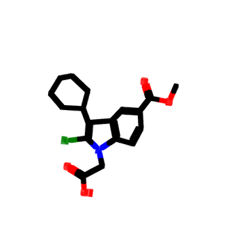 COC(=O)c1ccc2c(c1)c(C1CCCCC1)c(Br)n2CC(=O)O